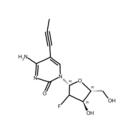 CC#Cc1cn([C@@H]2O[C@H](CO)[C@@H](O)C2F)c(=O)nc1N